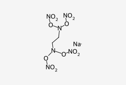 O=[N+]([O-])ON(CCN(O[N+](=O)[O-])O[N+](=O)[O-])O[N+](=O)[O-].[Na]